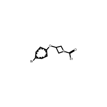 CCC(=O)N1CC(Oc2ccc(Br)cc2)C1